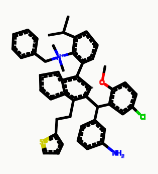 COc1ccc(Cl)cc1C(c1cccc(N)c1)c1[c]c(-c2cccc(C(C)C)c2[N+](C)(C)Cc2ccccc2)c2ccccc2c1CCc1cccs1